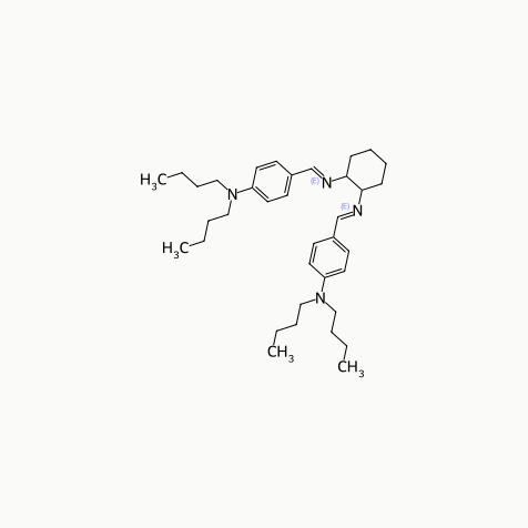 CCCCN(CCCC)c1ccc(/C=N/C2CCCCC2/N=C/c2ccc(N(CCCC)CCCC)cc2)cc1